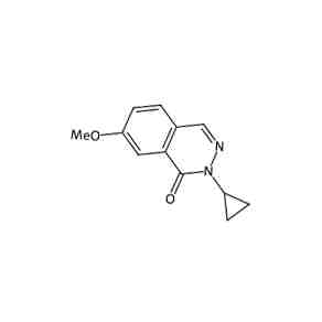 COc1ccc2cnn(C3CC3)c(=O)c2c1